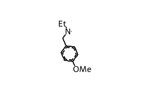 CC[N]Cc1ccc(OC)cc1